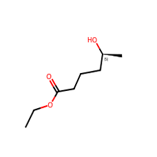 CCOC(=O)CCC[C@H](C)O